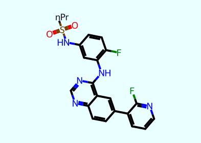 CCCS(=O)(=O)Nc1ccc(F)c(Nc2ncnc3ccc(-c4cccnc4F)cc23)c1